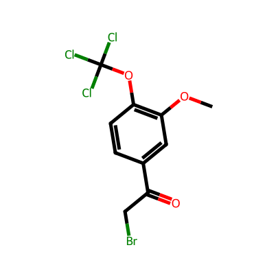 COc1cc(C(=O)CBr)ccc1OC(Cl)(Cl)Cl